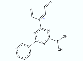 C=C/C=C(\C=C)c1nc(B(O)O)nc(-c2ccccc2)n1